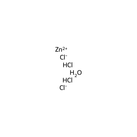 Cl.Cl.O.[Cl-].[Cl-].[Zn+2]